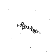 CS(=O)(=O)c1ccc2c(c1)ncn2Cc1ccc2nc(NC3CCCCC3O)sc2c1